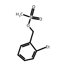 CCc1ccccc1COS(C)(=O)=O